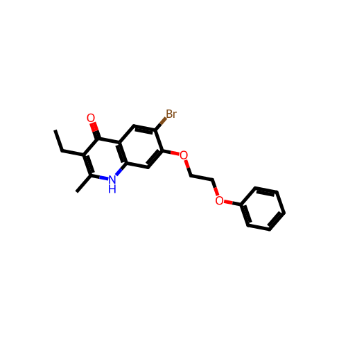 CCc1c(C)[nH]c2cc(OCCOc3ccccc3)c(Br)cc2c1=O